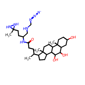 CC(CCC(=O)NC(CCC1(C)NN1)CNCN=[N+]=[N-])C1CCC2C3C(O)C(O)C4CC(O)CCC4(C)C3CCC12C